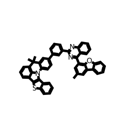 Cc1cc(-c2nc(-c3cccc(-c4ccc5c(c4)C(C)(C)c4cccc6c7sc8ccccc8c7n-5c46)c3)nc3ccccc23)c2oc3ccccc3c2c1